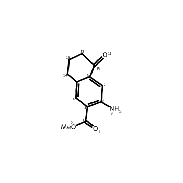 COC(=O)c1cc2c(cc1N)C(=O)CCC2